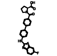 O=C(O)[C@@H]1CCCN1C(=O)c1ccc(-c2ccc(Nc3nc4ccc(F)cc4s3)cc2)cc1